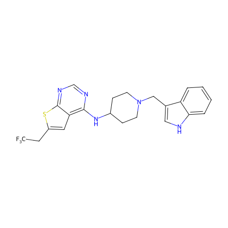 FC(F)(F)Cc1cc2c(NC3CCN(Cc4c[nH]c5ccccc45)CC3)ncnc2s1